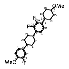 COc1ccc(C2CCC(c3ccc(C4CCC(OC)CC4)c(F)c3F)CC2)cc1F